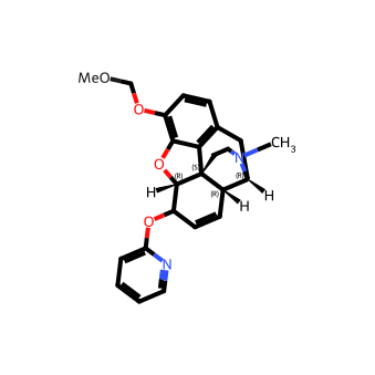 COCOc1ccc2c3c1O[C@H]1C(Oc4ccccn4)C=C[C@H]4[C@@H](C2)N(C)CC[C@]314